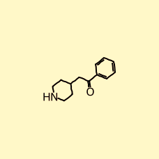 O=C(CC1CCNCC1)c1ccccc1